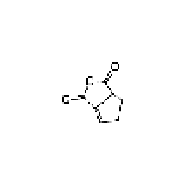 O=C1OC(=O)C2CCC=C12